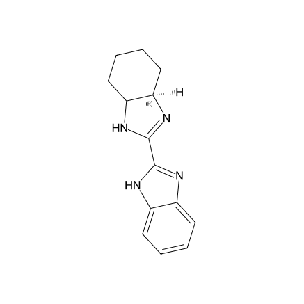 c1ccc2[nH]c(C3=N[C@@H]4CCCCC4N3)nc2c1